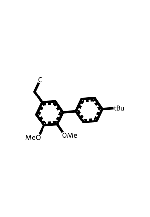 COc1cc(CCl)cc(-c2ccc(C(C)(C)C)cc2)c1OC